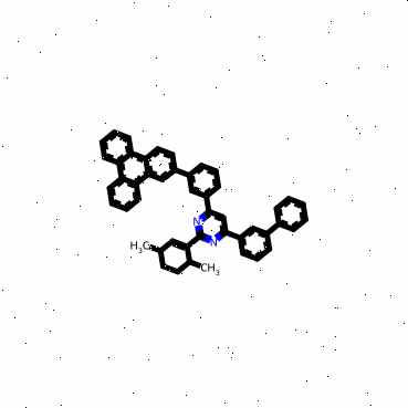 CC1C=C(c2nc(-c3cccc(-c4ccccc4)c3)cc(-c3cccc(-c4ccc5c6ccccc6c6ccccc6c5c4)c3)n2)C(C)CC1